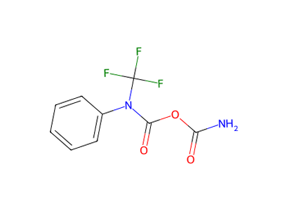 NC(=O)OC(=O)N(c1ccccc1)C(F)(F)F